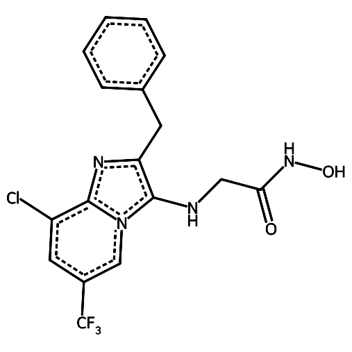 O=C(CNc1c(Cc2ccccc2)nc2c(Cl)cc(C(F)(F)F)cn12)NO